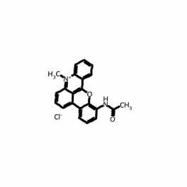 CC(=O)Nc1cccc2c1Oc1c3ccccc3[n+](C)c3cccc-2c13.[Cl-]